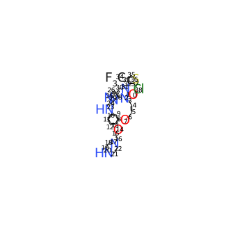 O=C1N2C/C=C\COc3cc(ccc3OCCN3CCNCC3)Nc3ncc(c2n3)CN1c1c(C(F)(F)F)csc1Cl